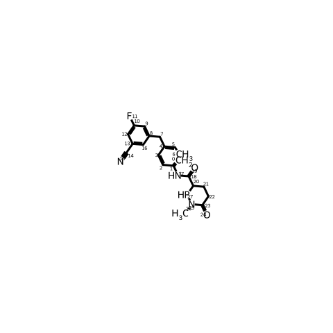 C=C(/C=C\C(=C/C)Cc1cc(F)cc(C#N)c1)NC(=O)C1CCC(=O)N(C)P1